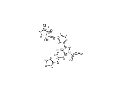 COC(=O)c1nn(-c2cccc(C#C[C@]3(O)CCN(C)C3=O)c2)c2ccc(CN3CCCC3)cc12